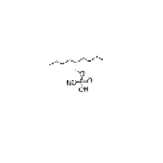 CCCCC(CCCC)COP(=O)(O)O